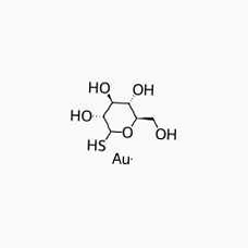 OC[C@H]1OC(S)[C@H](O)[C@@H](O)[C@@H]1O.[Au]